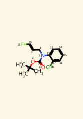 CC(C)(C)OC(=O)N(CC=CF)c1ccccc1Cl